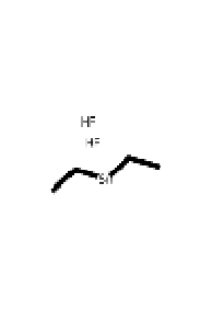 C[CH2][Sn][CH2]C.F.F